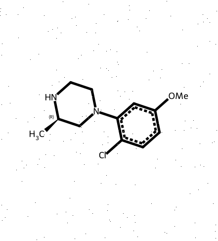 COc1ccc(Cl)c(N2CCN[C@H](C)C2)c1